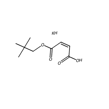 CC(C)(C)COC(=O)/C=C\C(=O)O.[KH]